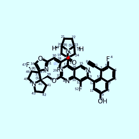 C#Cc1c(F)ccc2cc(O)cc(-c3ncc4c(N5C[C@H]6CC[C@@H](C5)N6C(=O)/C(F)=C/c5ncco5)nc(OC[C@@]56CCCN5C[C@H](F)C6)nc4c3F)c12